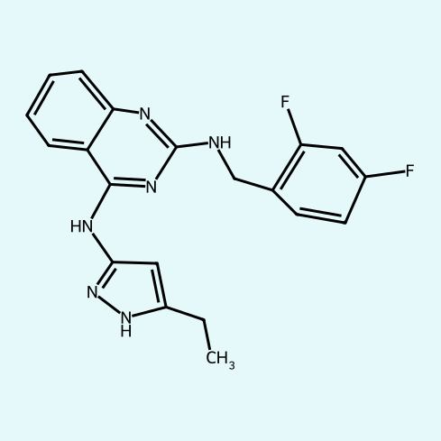 CCc1cc(Nc2nc(NCc3ccc(F)cc3F)nc3ccccc23)n[nH]1